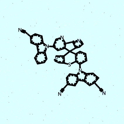 N#Cc1ccc2c(c1)c1ccccc1n2-c1cnc2c(c1)C1(c3ccccc3Sc3c(-n4c5ccc(C#N)cc5c5cc(C#N)ccc54)cccc31)c1cccnc1-2